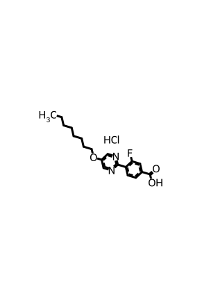 CCCCCCCCOc1cnc(-c2ccc(C(=O)O)cc2F)nc1.Cl